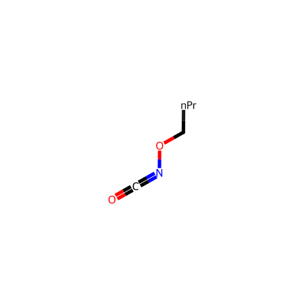 CCCCON=C=O